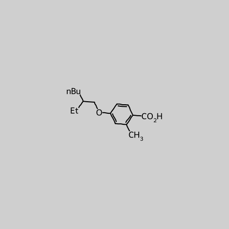 CCCCC(CC)COc1ccc(C(=O)O)c(C)c1